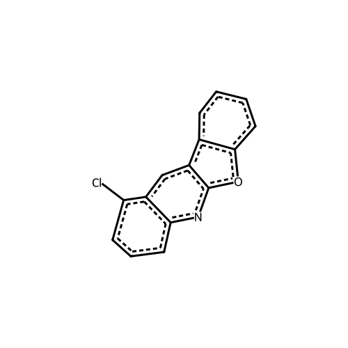 Clc1cccc2nc3oc4ccccc4c3cc12